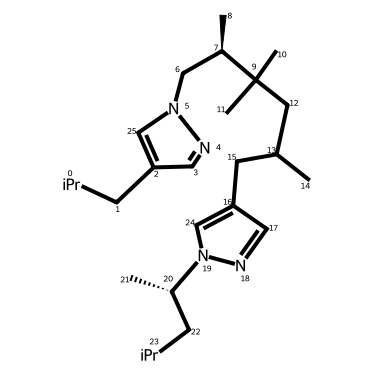 CC(C)Cc1cnn(C[C@@H](C)C(C)(C)CC(C)Cc2cnn([C@@H](C)CC(C)C)c2)c1